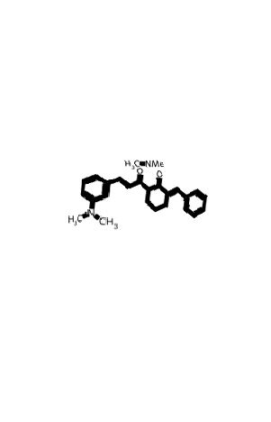 CN(C)c1cccc(C=CC(=O)C2CCCC(=Cc3ccccc3)C2=O)c1.CNC